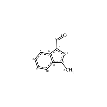 Cc1sc(C=O)c2ccccc12